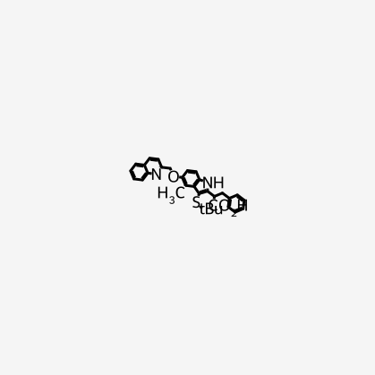 Cc1c(OCc2ccc3ccccc3n2)ccc2[nH]c(C(Cc3ccccc3)C(=O)O)c(SC(C)(C)C)c12